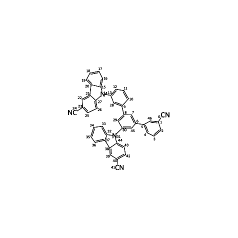 N#Cc1cccc(-c2cc(-c3cccc(-n4c5ccccc5c5cc(C#N)ccc54)c3)cc(-n3c4ccccc4c4cc(C#N)ccc43)c2)c1